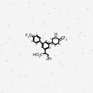 CC(C)CC(C(=O)O)c1cc(-c2ccc(C(F)(F)F)cc2)cc(C2CC[C@H](C(F)(F)F)NC2)c1